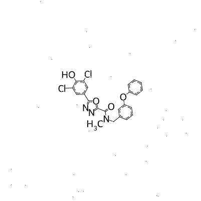 CN(Cc1cccc(Oc2ccccc2)c1)C(=O)c1nnc(-c2cc(Cl)c(O)c(Cl)c2)o1